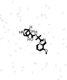 COc1cccn2c(C(C)(C)NC(=O)[C@H]3[C@@H]4CNC[C@H]3C4)ncc12